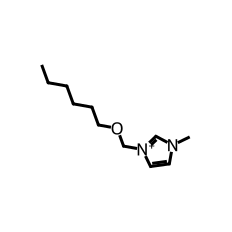 CCCCCCOC[n+]1ccn(C)c1